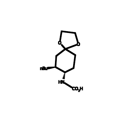 CCCC[C@H]1CC2(CC[C@@H]1NC(=O)O)OCCO2